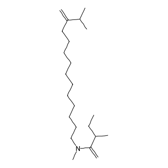 C=C(CCCCCCCCCCCN(C)C(=C)C(C)CC)C(C)C